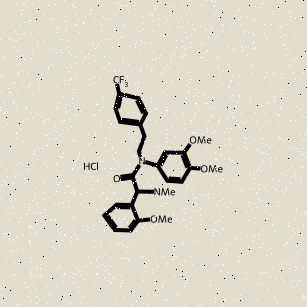 CNC(C(=O)N(CCc1ccc(C(F)(F)F)cc1)c1ccc(OC)c(OC)c1)c1ccccc1OC.Cl